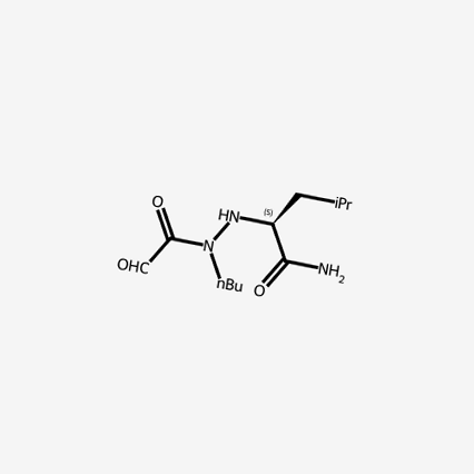 CCCCN(N[C@@H](CC(C)C)C(N)=O)C(=O)C=O